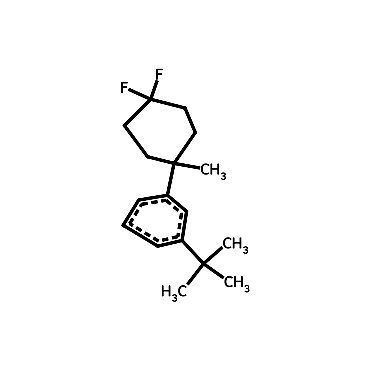 CC(C)(C)c1cccc(C2(C)CCC(F)(F)CC2)c1